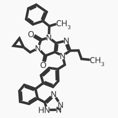 CCCc1nc2c(c(=O)n(CC3CC3)c(=O)n2C(C)c2ccccc2)n1Cc1ccc(-c2ccccc2-c2nnn[nH]2)cc1